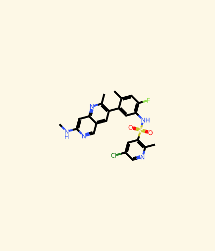 CNc1cc2nc(C)c(-c3cc(NS(=O)(=O)c4cc(Cl)cnc4C)c(F)cc3C)cc2cn1